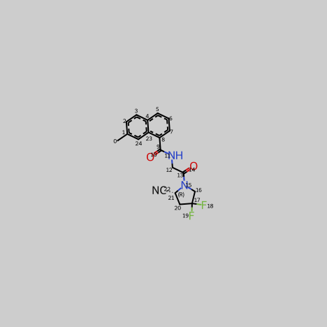 Cc1ccc2cccc(C(=O)NCC(=O)N3CC(F)(F)C[C@@H]3C#N)c2c1